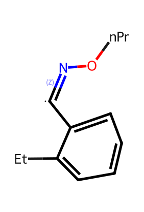 CCCO/N=[C]\c1ccccc1CC